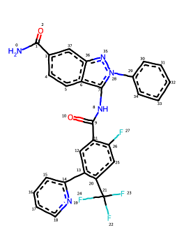 NC(=O)c1ccc2c(NC(=O)c3cc(-c4ccccn4)c(C(F)(F)F)cc3F)n(-c3ccccc3)nc2c1